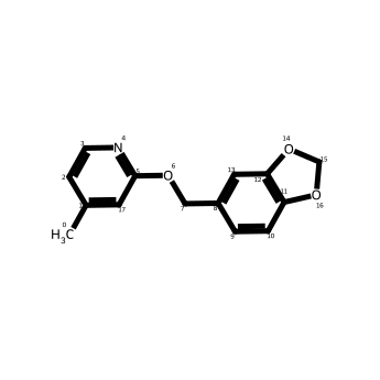 Cc1ccnc(OCc2ccc3c(c2)OCO3)c1